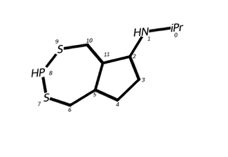 CC(C)NC1CCC2CSPSCC21